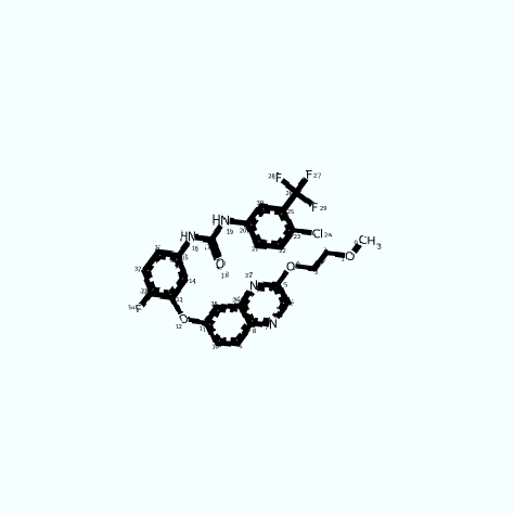 COCCOc1cnc2ccc(Oc3cc(NC(=O)Nc4ccc(Cl)c(C(F)(F)F)c4)ccc3F)cc2n1